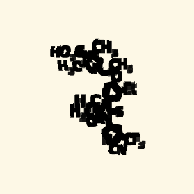 CCc1cc(N2C(=S)N(c3cnc(C#N)c(C(F)(F)F)c3)C(=O)C2(C)C)ccc1O[C@H](C)CN1C[C@@H](C)N(C(=O)O)[C@@H](C)C1